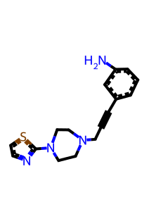 Nc1cccc(C#CCN2CCN(c3nccs3)CC2)c1